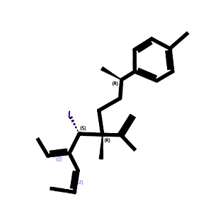 C=C(C)[C@@](C)(CC[C@@H](C)c1ccc(C)cc1)[C@@H](I)C(/C=C\C)=C\C